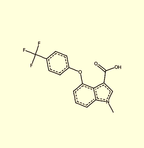 Cn1cc(C(=O)O)c2c(Oc3ccc(C(F)(F)F)cc3)cccc21